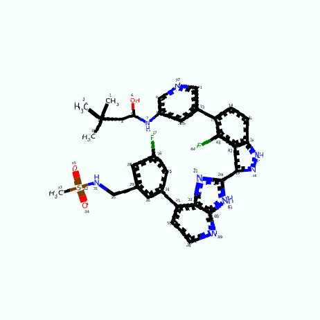 CC(C)(C)CC(O)Nc1cncc(-c2ccc3[nH]nc(-c4nc5c(-c6cc(F)cc(CNS(C)(=O)=O)c6)ccnc5[nH]4)c3c2F)c1